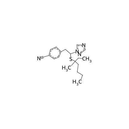 CCCCC(C)(CC)SC(Cc1ccc(C#N)cc1)n1cncn1